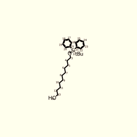 CC(C)(C)[Si](OCCCCCCCCCCCO)(c1ccccc1)c1ccccc1